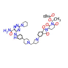 CC(OC(=O)C(C)(C)C)N1C(=O)CCC(N2C(=O)c3ccc(N4CCC(CN5CCC(c6ccc(Nc7nc(N8CCCCC8)nnc7C(N)=O)cc6)CC5)C4)cc3C2=O)C1=O